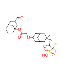 CC1(OC(=O)C(F)(F)S(=O)(=O)O)CC2CC(CC(OCC(=O)OC34CCCC(CC(C=O)C3)C4)C2)C1